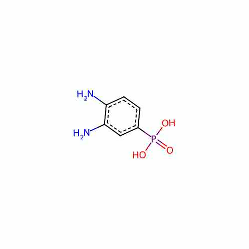 Nc1ccc(P(=O)(O)O)cc1N